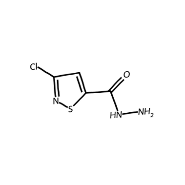 NNC(=O)c1cc(Cl)ns1